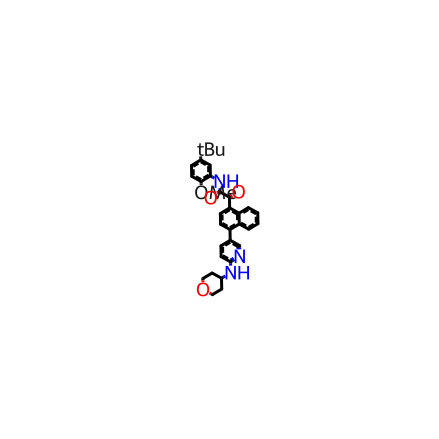 COc1ccc(C(C)(C)C)cc1NC(=O)C(=O)c1ccc(-c2ccc(NC3CCOCC3)nc2)c2ccccc12